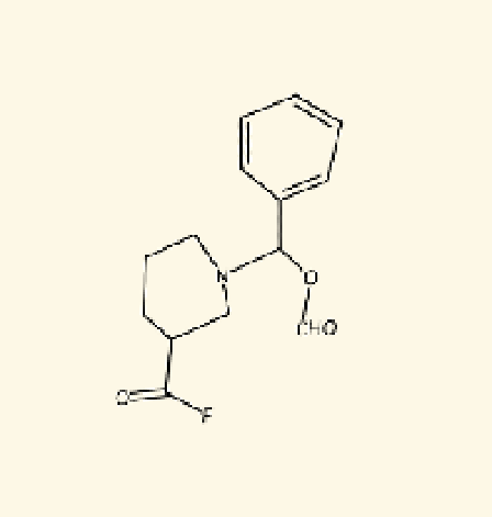 O=COC(c1ccccc1)N1CCCC(C(=O)F)C1